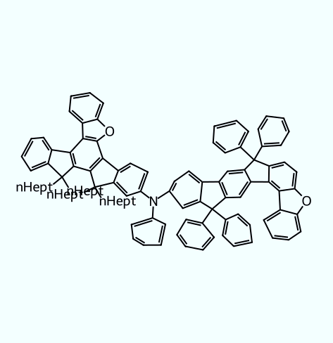 CCCCCCCC1(CCCCCCC)c2cc(N(c3ccccc3)c3ccc4c(c3)C(c3ccccc3)(c3ccccc3)c3cc5c(cc3-4)C(c3ccccc3)(c3ccccc3)c3ccc4oc6ccccc6c4c3-5)ccc2-c2c1c1c(c3c2oc2ccccc23)-c2ccccc2C1(CCCCCCC)CCCCCCC